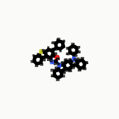 c1ccc(-c2cc3sc4ccccc4c3c3nc(-n4c5ccccc5c5cc6c7ccccc7n(-c7ccccc7)c6cc54)oc23)cc1